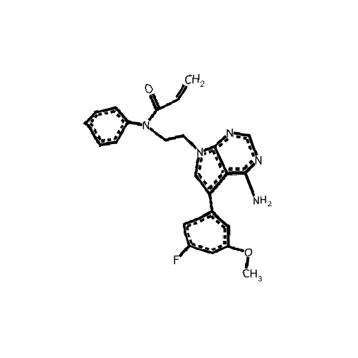 C=CC(=O)N(CCn1cc(-c2cc(F)cc(OC)c2)c2c(N)ncnc21)c1ccccc1